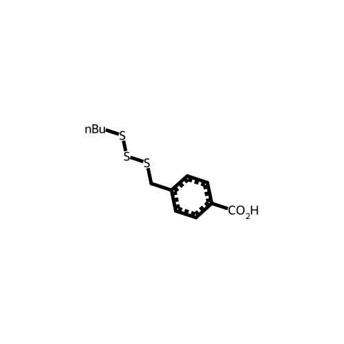 CCCCSSSCc1ccc(C(=O)O)cc1